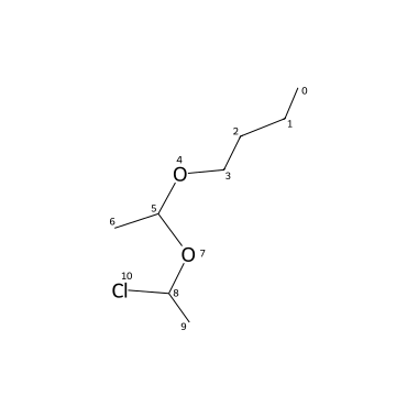 CCCCOC(C)OC(C)Cl